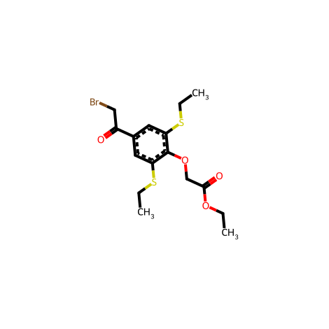 CCOC(=O)COc1c(SCC)cc(C(=O)CBr)cc1SCC